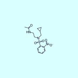 CC(=O)NCCN(CC1CC1)S(=O)(=O)c1ccccc1[N+](=O)[O-]